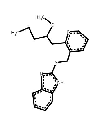 CCCC(Cc1ncccc1CSc1nc2ccccc2[nH]1)OC